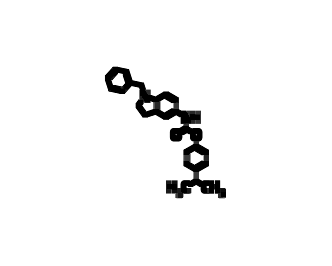 CC(C)c1ccc(OC(=O)Nc2ccc3c(c2)CCN3Cc2ccccc2)cc1